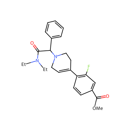 CCN(CC)C(=O)C(c1ccccc1)N1CC=C(c2ccc(C(=O)OC)cc2F)CC1